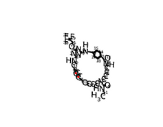 CCNC(=O)N1CCCCNC(=O)c2ccc(cc2)Nc2nc(nc(OCC(F)(F)F)n2)NCc2ccc(cc2)OCCC1